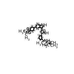 CC(NC(=O)OC(C)(C)C)c1cccc(C2C=C(c3c[nH]c4ncc(-c5ccc(S(=O)(=O)C(C)C)cc5)nc34)ON2)c1